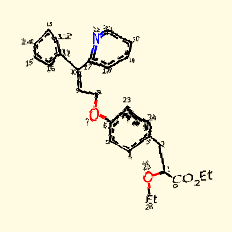 CCOC(=O)C(Cc1ccc(OCC=C(c2ccccc2)c2ccccn2)cc1)OCC